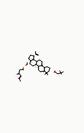 C=C(C)[C@@H]1CC[C@]2(CCOC(=O)Cc3cc(C)on3)CC[C@]3(C)[C@H](CC[C@@H]4[C@@]5(C)CC[C@H](OC(=O)CC(C)(C)C(=O)O)C(C)(C)[C@@H]5CC[C@]43C)[C@@H]12